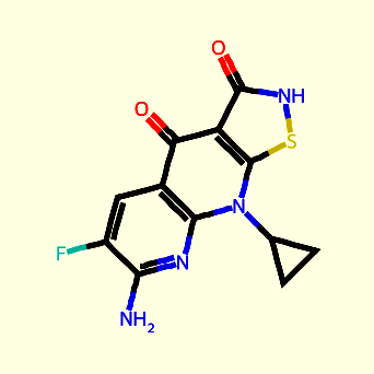 Nc1nc2c(cc1F)c(=O)c1c(=O)[nH]sc1n2C1CC1